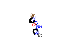 CCN1CCCC(Nc2nc3nc(Br)ccc3o2)C1